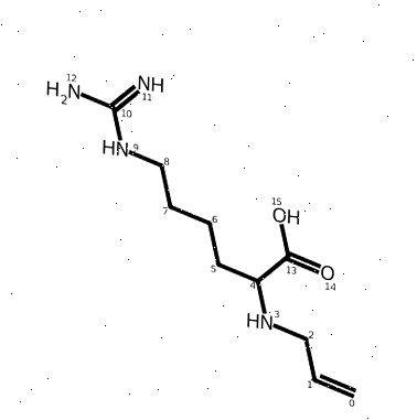 C=CCNC(CCCCNC(=N)N)C(=O)O